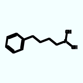 OP(O)CCCCc1ccccc1